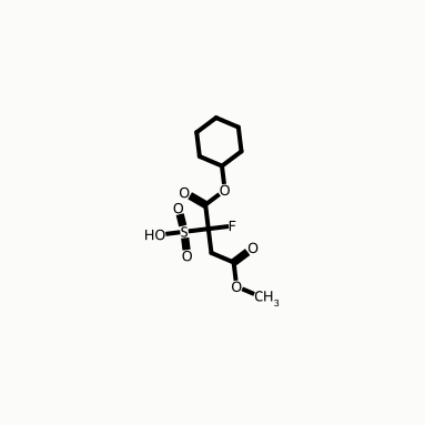 COC(=O)CC(F)(C(=O)OC1CCCCC1)S(=O)(=O)O